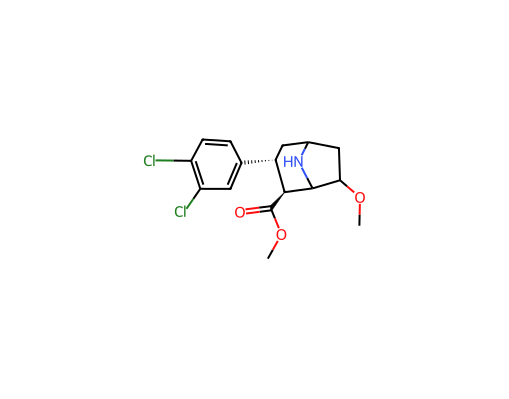 COC(=O)[C@@H]1C2NC(CC2OC)C[C@H]1c1ccc(Cl)c(Cl)c1